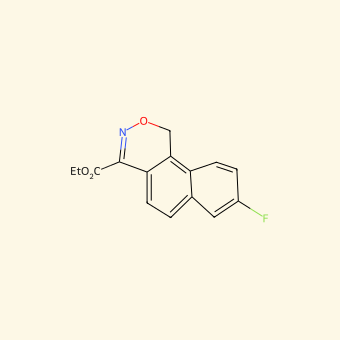 CCOC(=O)C1=NOCc2c1ccc1cc(F)ccc21